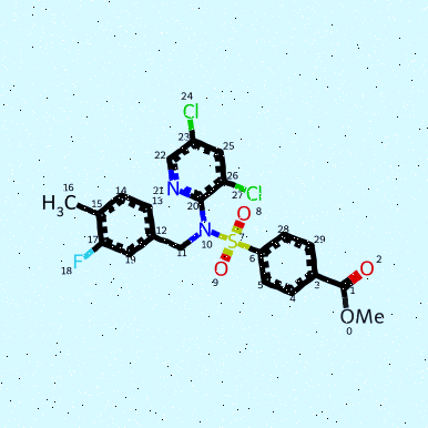 COC(=O)c1ccc(S(=O)(=O)N(Cc2ccc(C)c(F)c2)c2ncc(Cl)cc2Cl)cc1